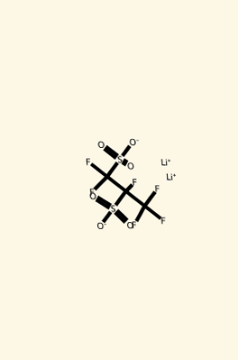 O=S(=O)([O-])C(F)(F)C(F)(C(F)(F)F)S(=O)(=O)[O-].[Li+].[Li+]